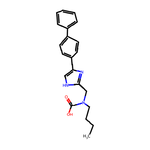 CCCCN(Cc1nc(-c2ccc(-c3ccccc3)cc2)c[nH]1)C(=O)O